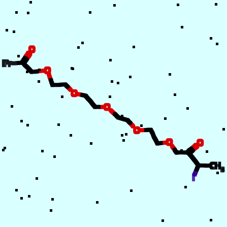 CC(C)C(=O)COCCOCCOCCOCCOCC(=O)C(C)I